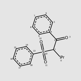 CC(C)C(C(=O)c1ccccc1)S(=O)(=O)c1ccccc1